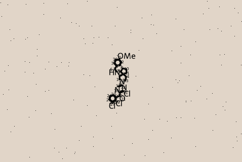 COc1ccc([C@@H](C)N[C@@H]2CCCC23CCN(c2cnc(C(=O)c4cccc(Cl)c4Cl)c(Cl)n2)CC3)cc1